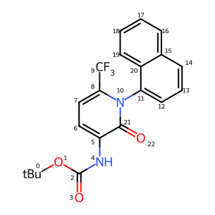 CC(C)(C)OC(=O)Nc1ccc(C(F)(F)F)n(-c2cccc3ccccc23)c1=O